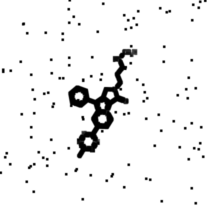 Cc1nnc(-c2ccn3c4c(c(-c5ccccc5)c3c2)CN(CCCNC(=O)O)C4=O)nn1